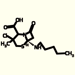 CCCCCN[C@@]12CC(=O)N1C(C(=O)O)C(C)(Cl)CS2